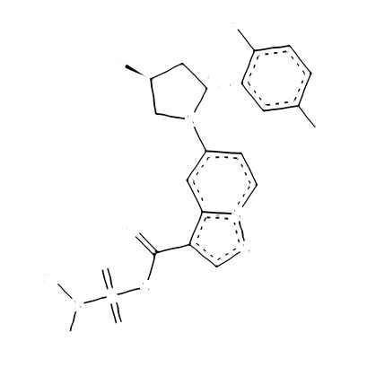 CCN(C)S(=O)(=O)NC(=O)c1cnn2ccc(N3C[C@@H](F)C[C@@H]3c3cc(F)ccc3F)cc12